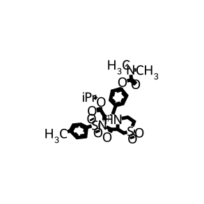 Cc1ccc(S(=O)(=O)N(C(=O)C2CS(=O)(=O)CCN2)[C@@H](Cc2ccc(OC(=O)N(C)C)cc2)C(=O)OC(C)C)cc1